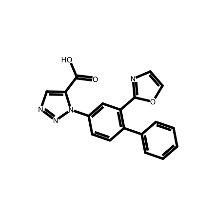 O=C(O)c1cnnn1-c1ccc(-c2ccccc2)c(-c2ncco2)c1